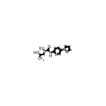 CCN(CC(O)C(F)(F)F)C(=O)Nc1ccc(-n2cccn2)cn1